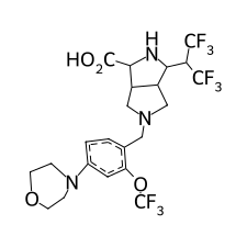 O=C(O)C1NC(C(C(F)(F)F)C(F)(F)F)C2CN(Cc3ccc(N4CCOCC4)cc3OC(F)(F)F)CC12